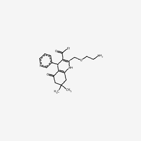 CCC(=O)C1=C(COCCN)NC2=C(C(=O)CC(C)(C)C2)C1c1cccnc1